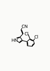 N#CC=Cc1c[nH]cc1-c1cccc(Cl)c1Cl